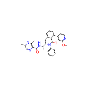 COc1cc(-c2cccc3cc([C@H](C)NC(=O)c4ncc(C)nc4C)n(-c4ccccc4)c(=O)c23)ccn1